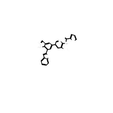 Cc1cc(-c2cc(-c3cc4ccccc4s3)c3[nH]ncc3c2)cnc1NC(=O)c1ccco1